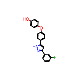 Oc1ccc(Oc2ccc(-c3cc(-c4cccc(F)c4)n[nH]3)cc2)cc1